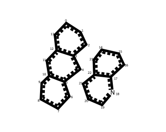 c1ccc2cc3ccccc3cc2c1.c1ccc2ncccc2c1